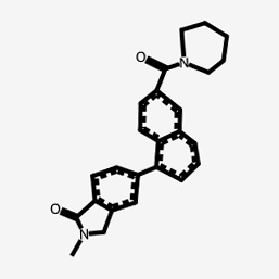 CN1Cc2cc(-c3cccc4cc(C(=O)N5CCCCC5)ccc34)ccc2C1=O